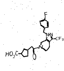 O=C(O)C1CCC(CC(=O)N2CCc3c(C(F)(F)F)nn(Cc4ccc(F)cc4)c3C2)C1